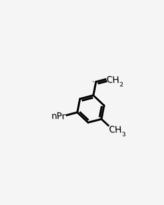 C=[C]c1cc(C)cc(CCC)c1